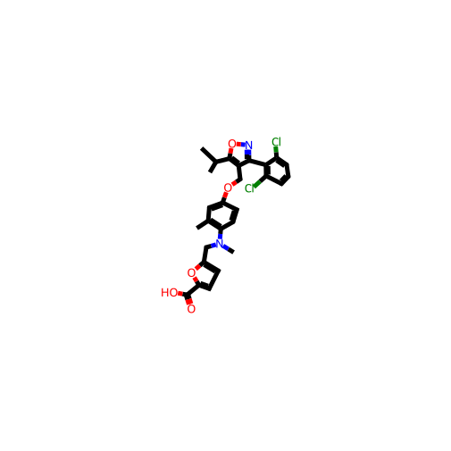 Cc1cc(OCc2c(-c3c(Cl)cccc3Cl)noc2C(C)C)ccc1N(C)Cc1ccc(C(=O)O)o1